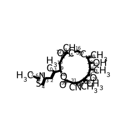 CC(=Cc1csc(C)n1)C1CC2OC2(C)CCCC(C)C(O)C(C)C(=O)C(C)(C)C(C#N)CC(=O)O1